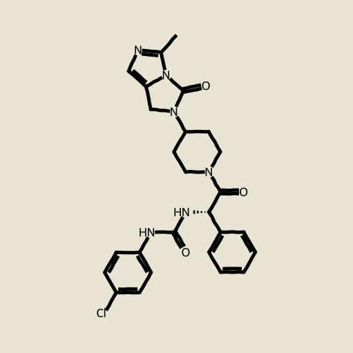 Cc1ncc2n1C(=O)N(C1CCN(C(=O)[C@@H](NC(=O)Nc3ccc(Cl)cc3)c3ccccc3)CC1)C2